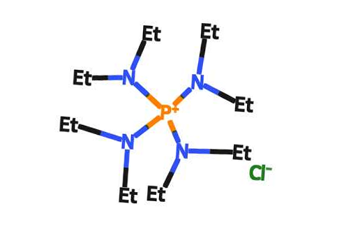 CCN(CC)[P+](N(CC)CC)(N(CC)CC)N(CC)CC.[Cl-]